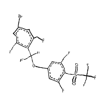 O=S(=O)(c1c(F)cc(OC(F)(F)c2c(F)cc(Br)cc2F)cc1F)C(F)(F)F